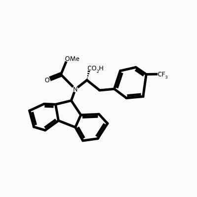 COC(=O)N(C1c2ccccc2-c2ccccc21)[C@@H](Cc1ccc(C(F)(F)F)cc1)C(=O)O